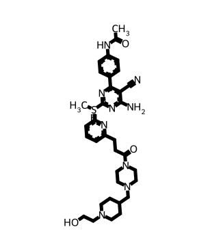 CC(=O)Nc1ccc(-c2nc([SH](C)c3cccc(CCC(=O)N4CCN(CC5CCN(CCO)CC5)CC4)n3)nc(N)c2C#N)cc1